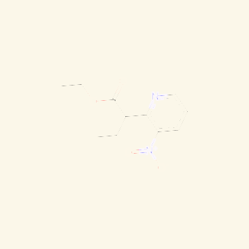 CCOC(=O)C(CC)c1ncccc1[N+](=O)[O-]